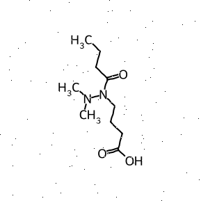 CCCC(=O)N(CCCC(=O)O)N(C)C